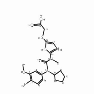 COc1cc(N(C(=O)N(C)c2ncc(SCC(=O)O)s2)C2CCCC2)ccc1F